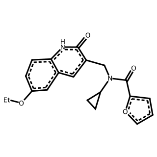 CCOc1ccc2[nH]c(=O)c(CN(C(=O)c3ccco3)C3CC3)cc2c1